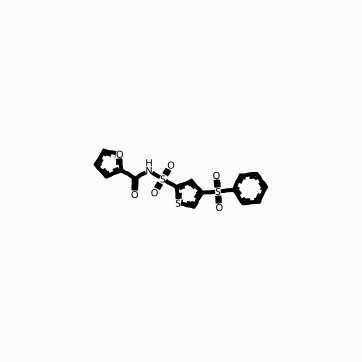 O=C(NS(=O)(=O)c1cc(S(=O)(=O)c2ccccc2)cs1)c1ccco1